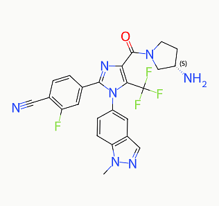 Cn1ncc2cc(-n3c(-c4ccc(C#N)c(F)c4)nc(C(=O)N4CC[C@H](N)C4)c3C(F)(F)F)ccc21